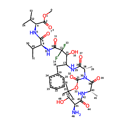 COC(=O)[C@@H](NC(=O)[C@@H](NC(=O)C(F)(F)C(O)C(Cc1ccccc1)NC(=O)[C@H](C)N(C(=O)OC(C)(C)C)C(=O)[C@H](C)NC(=O)[C@@H](N)CO)C(C)C)C(C)C